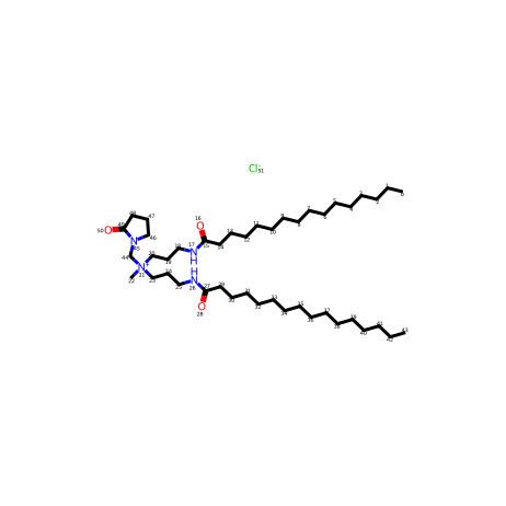 CCCCCCCCCCCCCCCC(=O)NCCC[N+](C)(CCCNC(=O)CCCCCCCCCCCCCCC)CN1CCCC1=O.[Cl-]